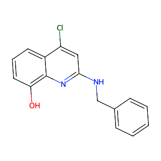 Oc1cccc2c(Cl)cc(NCc3ccccc3)nc12